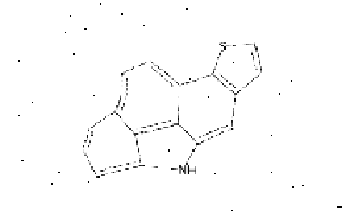 c1cc2ccc3c4sccc4cc4[nH]c(c1)c2c43